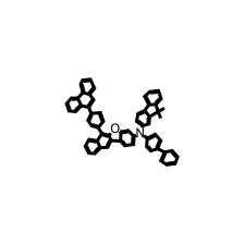 CC1(C)c2ccccc2-c2ccc(N(c3ccc(-c4ccccc4)cc3)c3ccc4c(c3)oc3c(-c5ccc(-c6cc7ccccc7c7ccccc67)cc5)c5ccccc5cc34)cc21